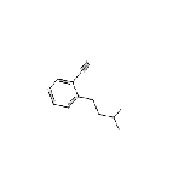 CC(C)CCc1ccccc1C#N